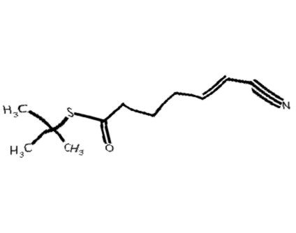 CC(C)(C)SC(=O)CCCC=CC#N